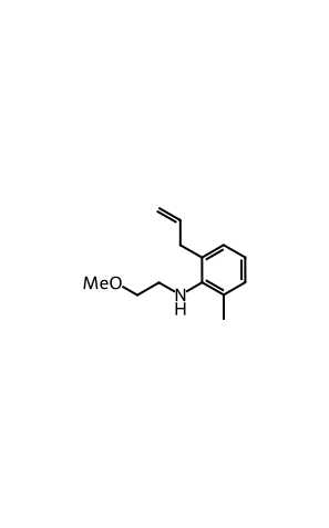 C=CCc1cccc(C)c1NCCOC